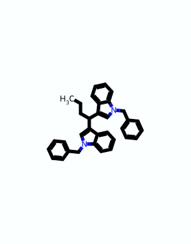 CCCC(c1cn(Cc2ccccc2)c2ccccc12)c1cn(Cc2ccccc2)c2ccccc12